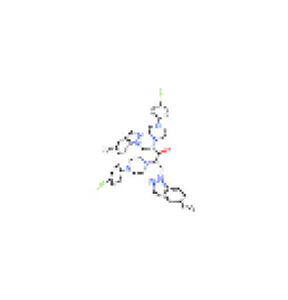 O=C(C(Cn1ncc2cc([N+](=O)[O-])ccc21)N1CCN(c2ccc(F)cc2)CC1)C(Cn1ncc2cc([N+](=O)[O-])ccc21)N1CCN(c2ccc(F)cc2)CC1